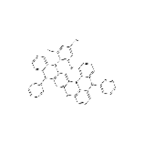 CC(C)c1cc(C(C)C)c(B2c3ccccc3N(c3ccccc3)c3cc4c(cc32)B2c3ccccc3N(c3ccccc3)c3cccc(c32)S4)c(C(C)C)c1